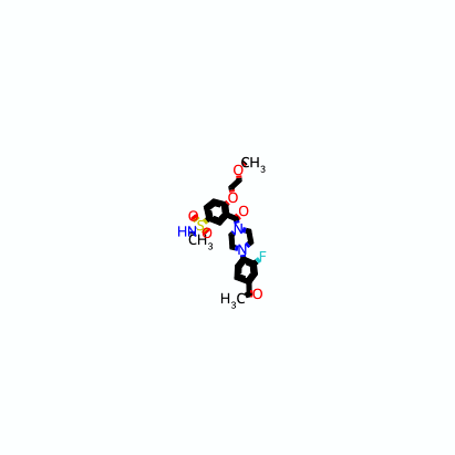 CNS(=O)(=O)c1ccc(OCCOC)c(C(=O)N2CCN(c3ccc(C(C)=O)cc3F)CC2)c1